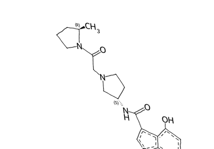 C[C@@H]1CCCN1C(=O)CN1CC[C@H](NC(=O)c2coc3cccc(O)c23)C1